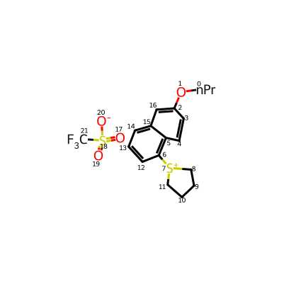 CCCOc1ccc2c([S+]3CCCC3)cccc2c1.O=S(=O)([O-])C(F)(F)F